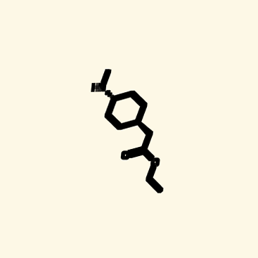 CCOC(=O)C[C@H]1CC[C@H](NC)CC1